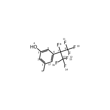 Cc1[c]c(O)cc(C(F)(C(F)(F)F)C(F)(F)F)c1